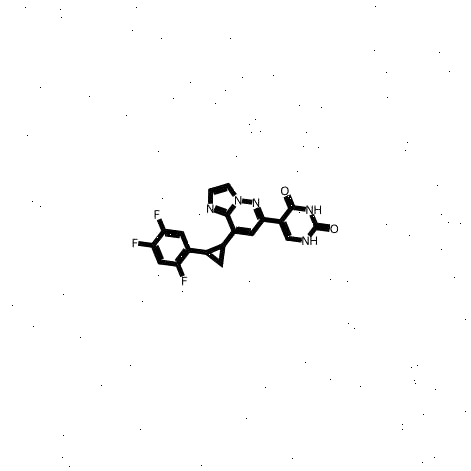 O=c1[nH]cc(-c2cc(C3CC3c3cc(F)c(F)cc3F)c3nccn3n2)c(=O)[nH]1